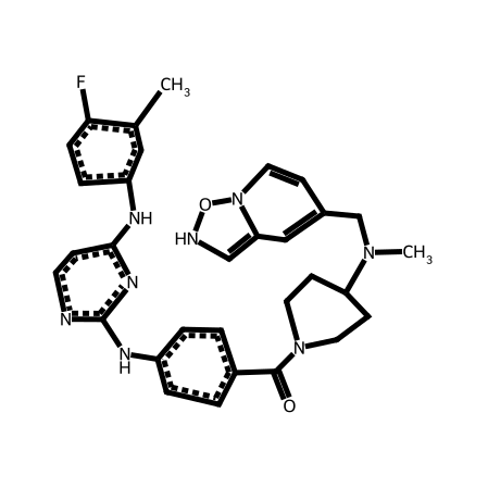 Cc1cc(Nc2ccnc(Nc3ccc(C(=O)N4CCC(N(C)CC5=CC6=CNON6C=C5)CC4)cc3)n2)ccc1F